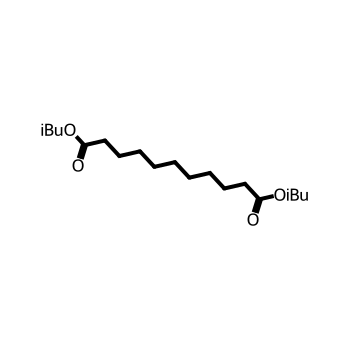 CC(C)COC(=O)CCCCCCCCCC(=O)OCC(C)C